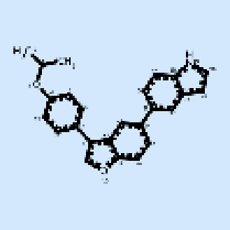 CC(C)Oc1ccc(-c2coc3ccc(-c4ccc5[nH]ccc5c4)cc23)cc1